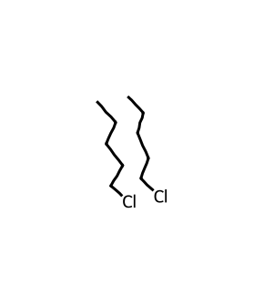 CCCCCCl.CCCCCCl